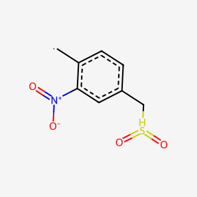 [CH2]c1ccc(C[SH](=O)=O)cc1[N+](=O)[O-]